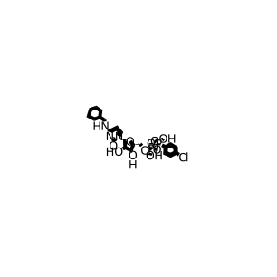 O=c1nc(NCC2CCCCC2)ccn1[C@@H]1O[C@H](COP(=O)(O)OP(=O)(O)c2ccc(Cl)cc2)[C@H](O)C1O